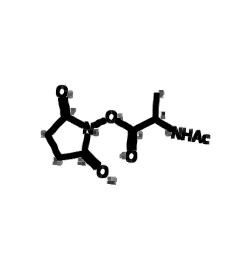 CC(=O)NC(C)C(=O)ON1C(=O)CCC1=O